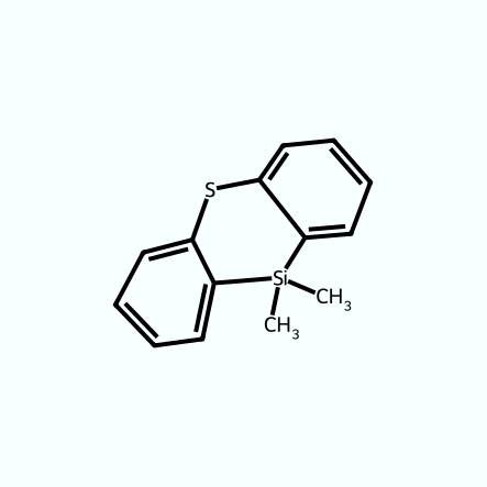 C[Si]1(C)c2ccccc2Sc2ccccc21